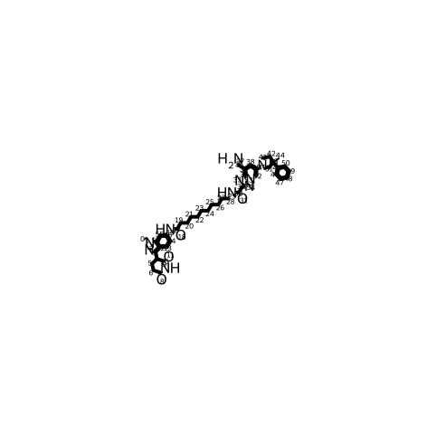 Cn1nc(C2CCC(=O)NC2=O)c2ccc(NC(=O)CCCCCCCCCCNC(=O)c3nc4c(CN)cc(N5CC[C@](C)(c6ccccc6)C5)cn4n3)cc21